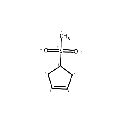 CS(=O)(=O)C1CC=CC1